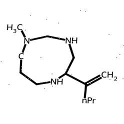 C=C(CCC)C1CNCN(C)CCCN1